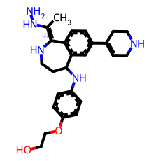 C/C(NN)=C1/NCCC(Nc2ccc(OCCO)cc2)c2cc(C3=CCNCC3)ccc21